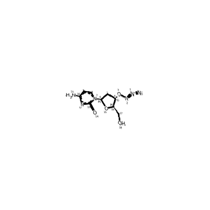 [N-]=[N+]=NO[C@H]1C[C@H](n2ccc(N)nc2=O)O[C@@H]1CO